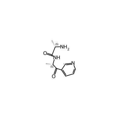 C[C@H](N)C(=O)N[C@@H](C)C(=O)c1[c]nccc1